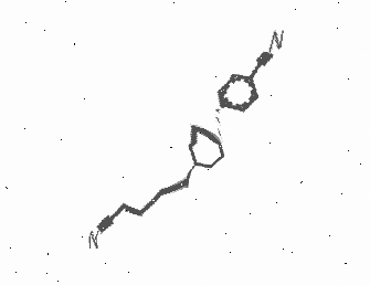 N#CC=CCC[C@H]1CC[C@H](c2ccc(C#N)cc2)CC1